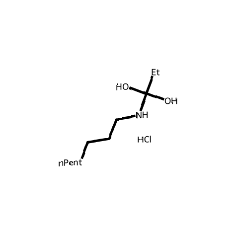 CCCCCCCCNC(O)(O)CC.Cl